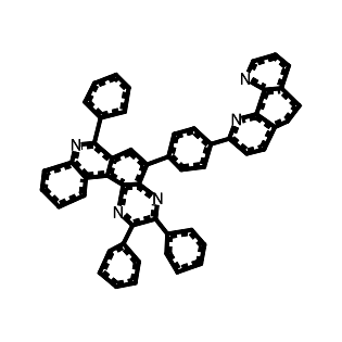 c1ccc(-c2nc3c(-c4ccc(-c5ccc6ccc7cccnc7c6n5)cc4)cc4c(-c5ccccc5)nc5ccccc5c4c3nc2-c2ccccc2)cc1